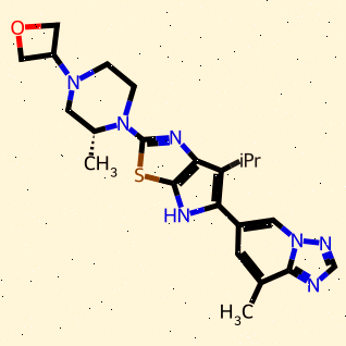 Cc1cc(-c2[nH]c3sc(N4CCN(C5COC5)C[C@H]4C)nc3c2C(C)C)cn2ncnc12